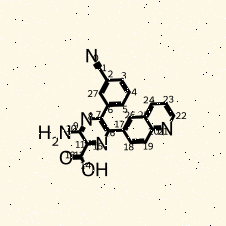 N#Cc1cccc(-c2nc(N)c(C(=O)O)nc2-c2ccc3ncccc3c2)c1